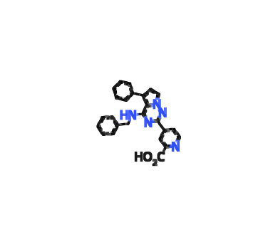 O=C(O)c1cc(-c2nc(NCc3ccccc3)c3c(-c4ccccc4)ccn3n2)ccn1